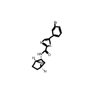 O=C(N[C@@H]1C[C@H]2CC[C@@H]1N2)c1ncc(-c2cccc(Br)c2)s1